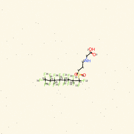 O=C(O)CNCCCS(=O)(=O)C(F)(F)C(F)(F)C(F)(F)C(F)(F)C(F)(F)C(F)(F)C(F)(F)C(F)(F)F